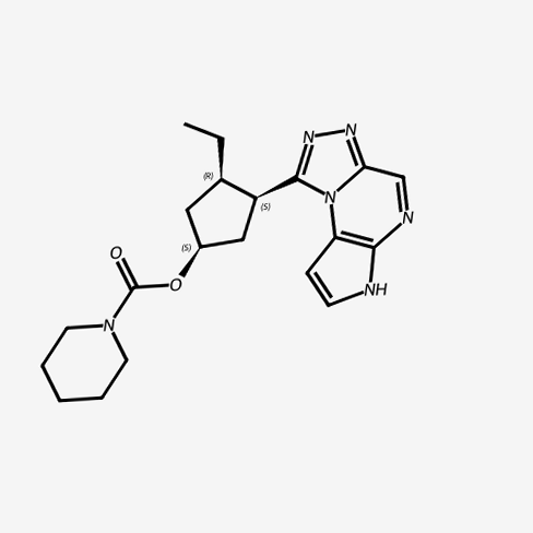 CC[C@@H]1C[C@H](OC(=O)N2CCCCC2)C[C@@H]1c1nnc2cnc3[nH]ccc3n12